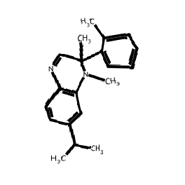 Cc1ccccc1C1(C)C=Nc2ccc(C(C)C)cc2N1C